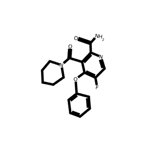 NC(=O)c1ncc(F)c(Oc2ccccc2)c1C(=O)N1CCCCC1